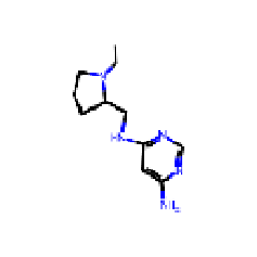 CCN1CCCC1CNc1cc(N)ncn1